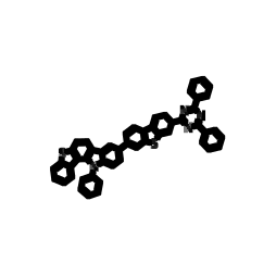 C1=c2sc3cc(-c4ccc5c(c4)c4ccc6sc7ccccc7c6c4n5-c4ccccc4)ccc3c2=CCC1c1nc(-c2ccccc2)nc(-c2ccccc2)n1